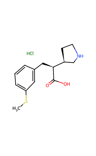 CSc1cccc(C[C@H](C(=O)O)[C@H]2CCNC2)c1.Cl